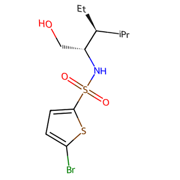 CC[C@@H](C(C)C)[C@@H](CO)NS(=O)(=O)c1ccc(Br)s1